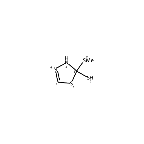 CSC1(S)NN=CS1